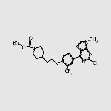 Cn1ccc2c(-c3ccc(SCCC4CCN(C(=O)OC(C)(C)C)CC4)c(C(F)(F)F)c3)nc(Cl)nc21